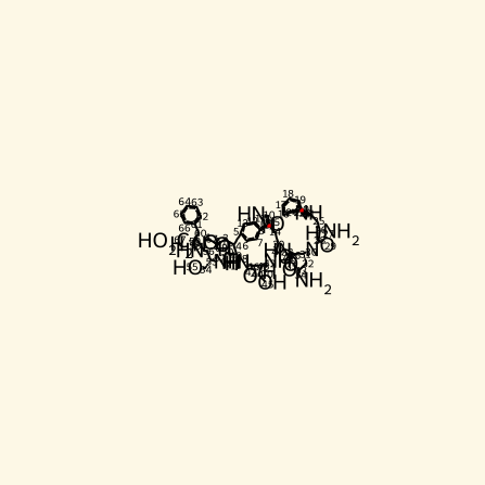 NCCC[C@H]1c2ccc3c(c[nH]c3c2)[C@H]2Oc3cccc4c(c[nH]c34)C[C@H](N)C(=O)N[C@@H](CC(N)=O)C(=O)NC2C(=O)N[C@@H](CO)C(=O)N[C@@H]1C(=O)N[C@@H](CO)C(=O)N[C@@H](Cc1ccccc1)C(=O)O